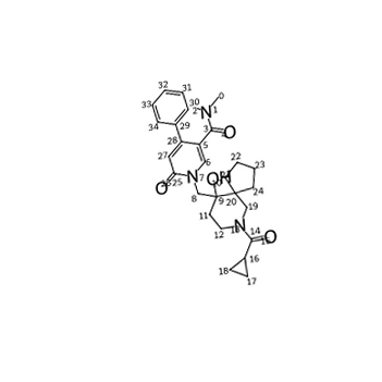 CN(C)C(=O)c1cn(CC2(O)CCN(C(=O)C3CC3)CC23CCCC3)c(=O)cc1-c1ccccc1